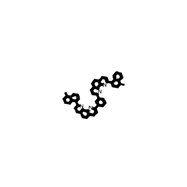 Cc1cccc2c(-c3ccc4ccc5ccc(-c6cccc(-c7ccc8ccc9ccc(-c%10ccc(C)c%11ccccc%10%11)nc9c8n7)c6)nc5c4n3)cccc12